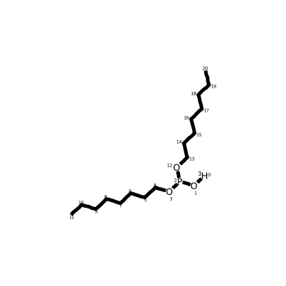 [3H]OP(OCCCCCCCC)OCCCCCCCC